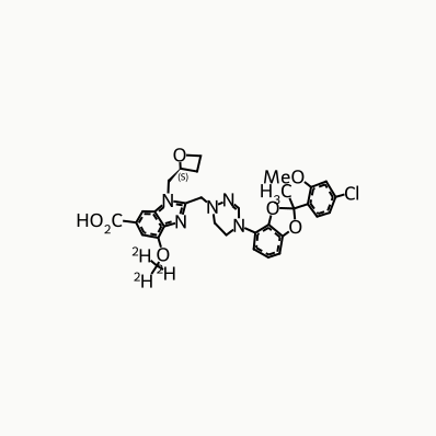 [2H]C([2H])([2H])Oc1cc(C(=O)O)cc2c1nc(CN1CCN(c3cccc4c3OC(C)(c3ccc(Cl)cc3OC)O4)C=N1)n2C[C@@H]1CCO1